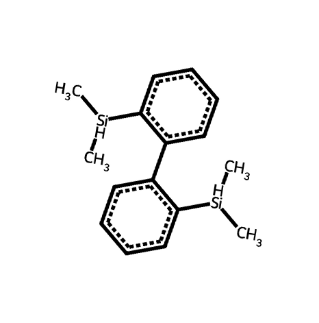 C[SiH](C)c1ccccc1-c1ccccc1[SiH](C)C